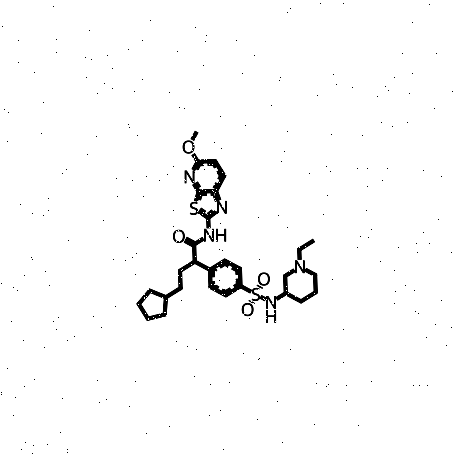 CCN1CCCC(NS(=O)(=O)c2ccc(C(CCC3CCCC3)C(=O)Nc3nc4ccc(OC)nc4s3)cc2)C1